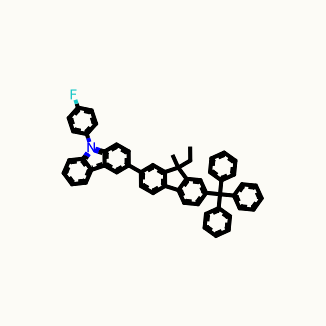 CCC1(C)c2cc(-c3ccc4c(c3)c3ccccc3n4-c3ccc(F)cc3)ccc2-c2ccc(C(c3ccccc3)(c3ccccc3)c3ccccc3)cc21